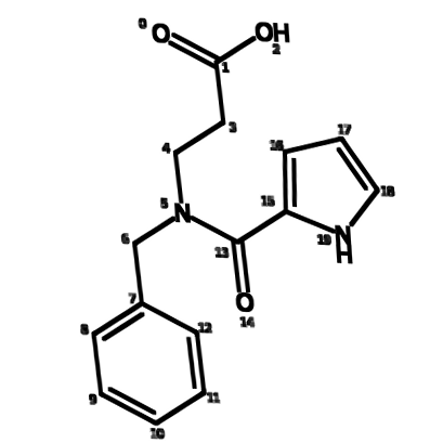 O=C(O)CCN(Cc1ccccc1)C(=O)c1ccc[nH]1